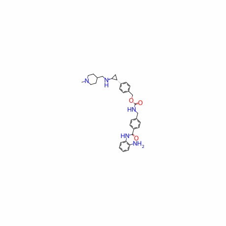 CN1CCC(CN[C@H]2C[C@@H]2c2ccc(COC(=O)NCc3ccc(C(=O)Nc4ccccc4N)cc3)cc2)CC1